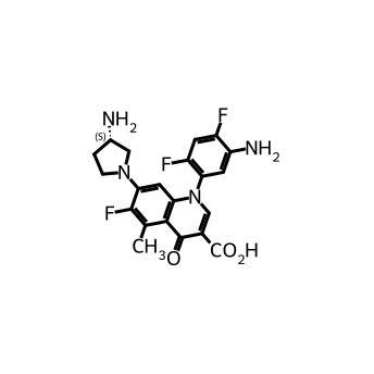 Cc1c(F)c(N2CC[C@H](N)C2)cc2c1c(=O)c(C(=O)O)cn2-c1cc(N)c(F)cc1F